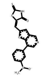 C[S+]([O-])c1cccc(-c2cncc3cc(C=C4SC(=S)NC4=O)oc23)c1